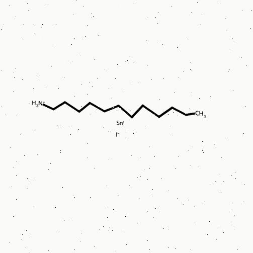 CCCCCCCCCCCC[NH3+].[I-].[Sn]